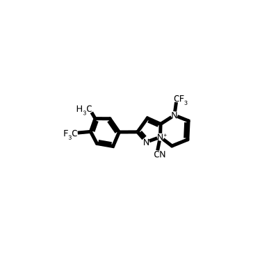 Cc1cc(C2=N[N+]3(C#N)CC=CN(C(F)(F)F)C3=C2)ccc1C(F)(F)F